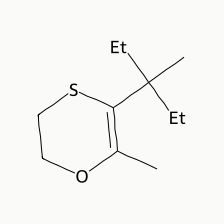 CCC(C)(CC)C1=C(C)OCCS1